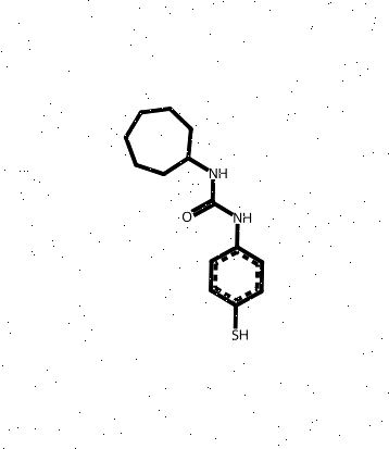 O=C(Nc1ccc(S)cc1)NC1CCCCCC1